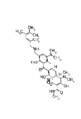 CNC(=O)C1=C(O)C(N(C)C)[C@@H]2C[C@@H]3Cc4c(N(C)C)cc(CNC/C(C)=C/C(C)=C(C)C)c(O)c4C(=O)C3=C(O)[C@]2(N=O)C1=O